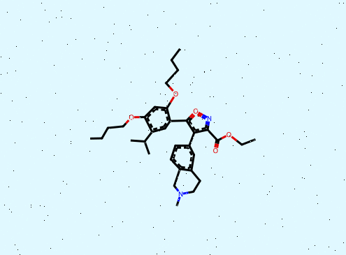 CCCCOc1cc(OCCCC)c(C(C)C)cc1-c1onc(C(=O)OCC)c1-c1ccc2c(c1)CCN(C)C2